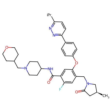 CC(C)c1ccc(-c2ccc(Oc3cc(C(=O)NC4CCN(CC5CCOCC5)CC4)c(F)cc3CN3C[C@@H](C)CC3=O)cc2)nn1